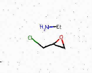 CCN.ClCC1CO1